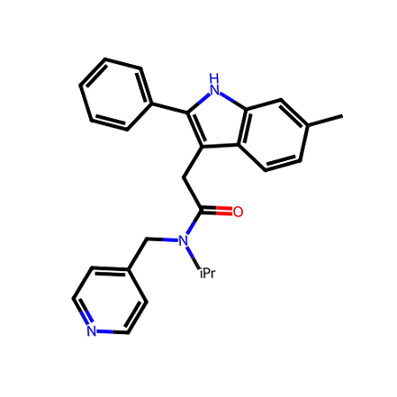 Cc1ccc2c(CC(=O)N(Cc3ccncc3)C(C)C)c(-c3ccccc3)[nH]c2c1